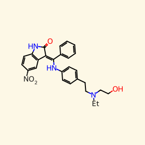 CCN(CCO)CCc1ccc(NC(=C2C(=O)Nc3ccc([N+](=O)[O-])cc32)c2ccccc2)cc1